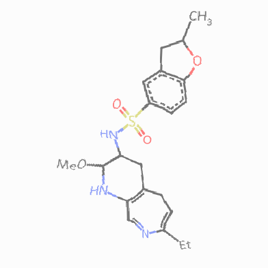 CCC1=CCC2=C(C=N1)NC(OC)C(NS(=O)(=O)c1ccc3c(c1)CC(C)O3)C2